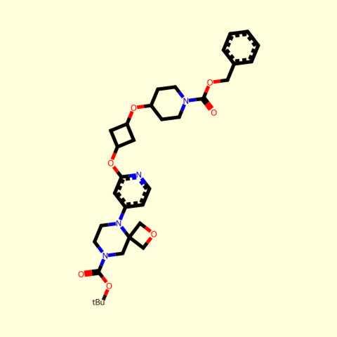 CC(C)(C)OC(=O)N1CCN(c2ccnc(OC3CC(OC4CCN(C(=O)OCc5ccccc5)CC4)C3)c2)C2(COC2)C1